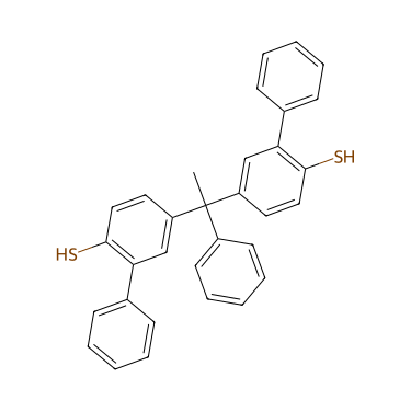 CC(c1ccccc1)(c1ccc(S)c(-c2ccccc2)c1)c1ccc(S)c(-c2ccccc2)c1